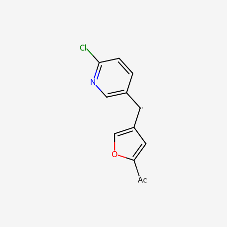 CC(=O)c1cc([CH]c2ccc(Cl)nc2)co1